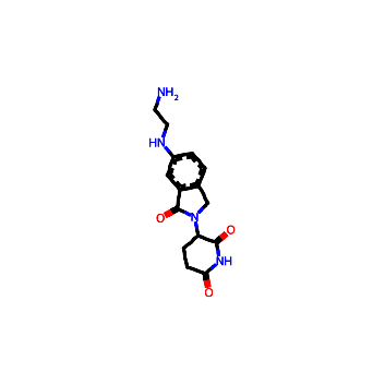 NCCNc1ccc2c(c1)C(=O)N(C1CCC(=O)NC1=O)C2